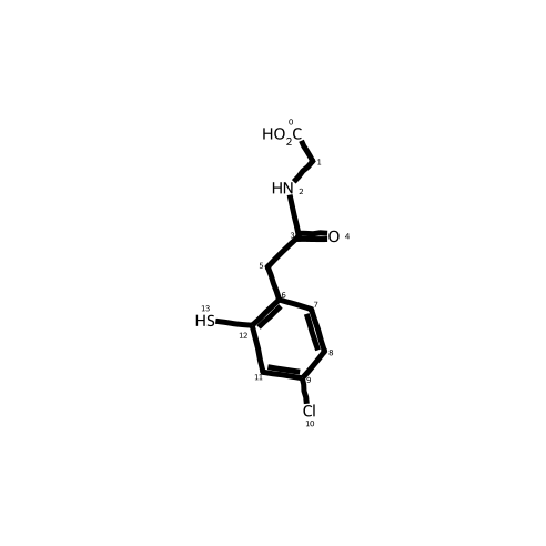 O=C(O)CNC(=O)Cc1ccc(Cl)cc1S